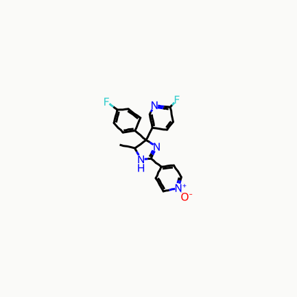 CC1NC(c2cc[n+]([O-])cc2)=NC1(c1ccc(F)cc1)c1ccc(F)nc1